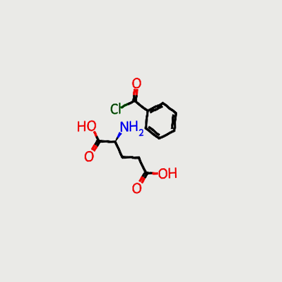 N[C@@H](CCC(=O)O)C(=O)O.O=C(Cl)c1ccccc1